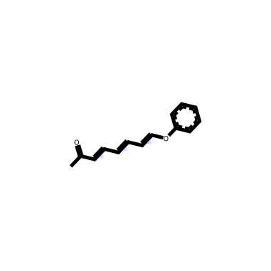 CC(=O)/C=C/C=C/C=C/Oc1ccccc1